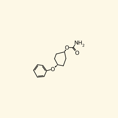 NC(=O)O[C@H]1CC[C@@H](Oc2ccccc2)CC1